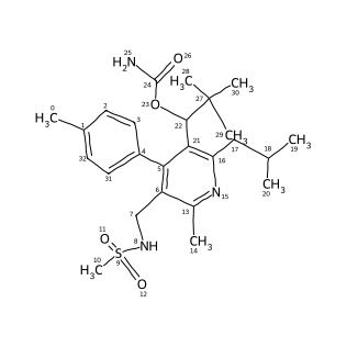 Cc1ccc(-c2c(CNS(C)(=O)=O)c(C)nc(CC(C)C)c2C(OC(N)=O)C(C)(C)C)cc1